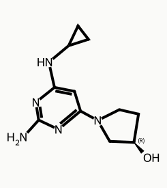 Nc1nc(NC2CC2)cc(N2CC[C@@H](O)C2)n1